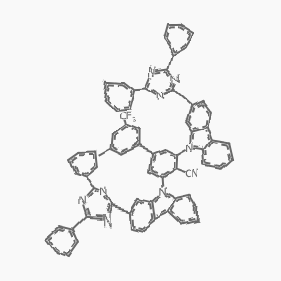 Cc1cc(-c2cc(-n3c4ccccc4c4ccc(-c5nc(-c6ccccc6)nc(-c6ccccc6)n5)cc43)c(C#N)c(-n3c4ccccc4c4ccc(-c5nc(-c6ccccc6)nc(-c6ccccc6)n5)cc43)c2)cc(C(F)(F)F)c1